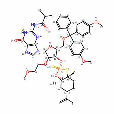 C=C(C)[C@H]1CC[C@@]2(C)S[P@@](=S)(O[C@H]3[C@@H](OCCOC)[C@H](n4cnc5c(=O)[nH]c(NC(=O)C(C)C)nc54)O[C@@H]3COC(c3ccccc3)(c3ccc(OC)cc3)c3ccc(OC)cc3)O[C@@H]2C1